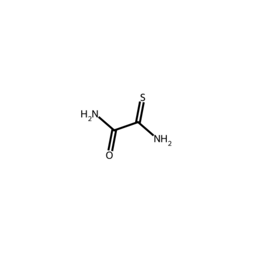 NC(=O)C(N)=S